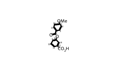 COc1ccc(C(=O)Oc2cccc(C(=O)O)c2)cc1